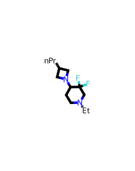 CCCC1CN(C2CCN(CC)CC2(F)F)C1